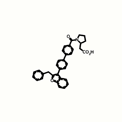 O=C(O)CC1CCCN1C(=O)c1ccc(-c2ccc(-c3c(Cc4ccccc4)oc4ccccc34)cc2)cc1